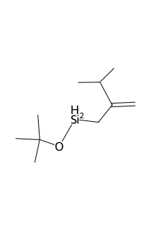 C=C(C[SiH2]OC(C)(C)C)C(C)C